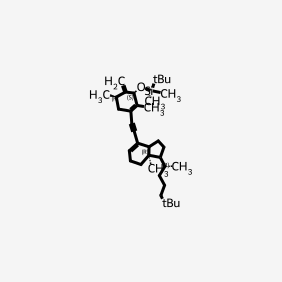 C=C1[C@H](O[Si](C)(C)C(C)(C)C)C(C)=C(C#CC2=CCC[C@@]3(C)C2CCC3[C@H](C)CCCC(C)(C)C)C[C@H]1C